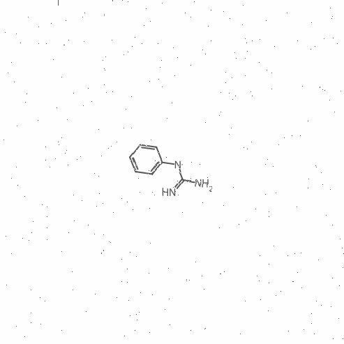 N=C(N)[N]c1ccccc1